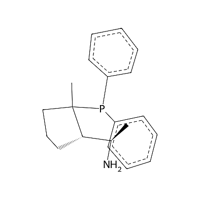 C[C@@H](N)[C@@H]1CCCC1(C)P(c1ccccc1)c1ccccc1